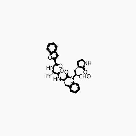 CC(C)[C@H](NC(=O)c1cc2ccccc2o1)C(=O)N[C@@H](Cc1ccccc1)C(=O)N[C@H](C=O)C[C@@H]1CCNC1=O